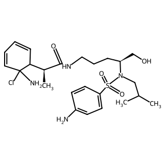 CC(C)CN([C@H](CO)CCCNC(=O)[C@@H](C)C1C=CC=CC1(N)Cl)S(=O)(=O)c1ccc(N)cc1